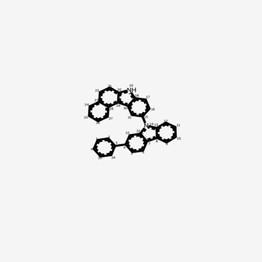 c1ccc(-c2ccc3c4ccccc4n(-c4ccc5[nH]c6ccc7ccccc7c6c5c4)c3c2)cc1